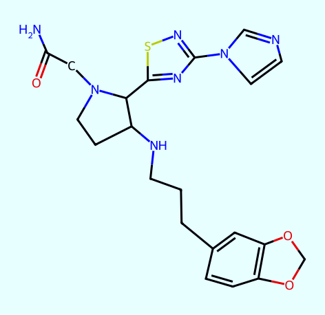 NC(=O)CN1CCC(NCCCc2ccc3c(c2)OCO3)C1c1nc(-n2ccnc2)ns1